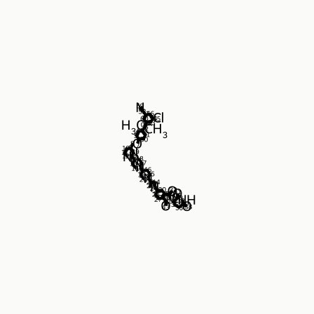 CC(C)(c1ccc(OCc2ccnc(N3CCN(C4CCN(C5CN(c6ccc7c(c6)C(=O)N(C6CCC(=O)NC6=O)C7=O)C5)CC4)CC3)n2)cc1)c1cc(Cl)cc(C#N)c1